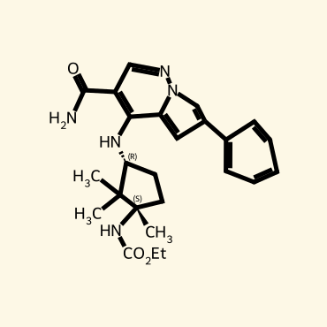 CCOC(=O)N[C@@]1(C)CC[C@@H](Nc2c(C(N)=O)cnn3cc(-c4ccccc4)cc23)C1(C)C